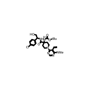 C=Cc1c(NC)ncnc1N1CCC(NC(=O)OC(C)(C)C)(C(=O)NC(CO)c2ccc(Cl)cc2)CC1